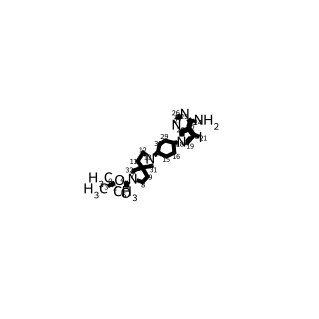 CC(C)(C)OC(=O)N1CCC2(CCN(C3CCC(n4cc(I)c5c(N)ncnc54)CC3)C2)C1